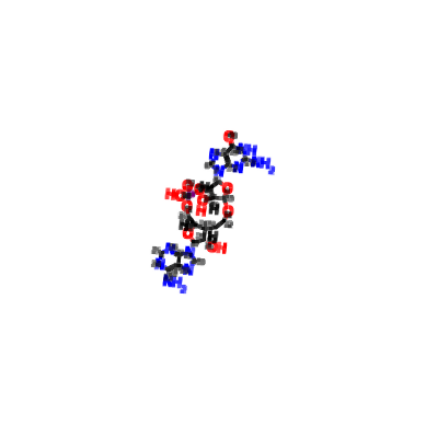 Nc1nc2c(ncn2[C@@H]2OC3OCC[C@H]4[C@H](O)[C@H](n5cnc6c(N)ncnc65)O[C@@H]4COP(=O)(O)O[C@@H]2[C@@H]3O)c(=O)[nH]1